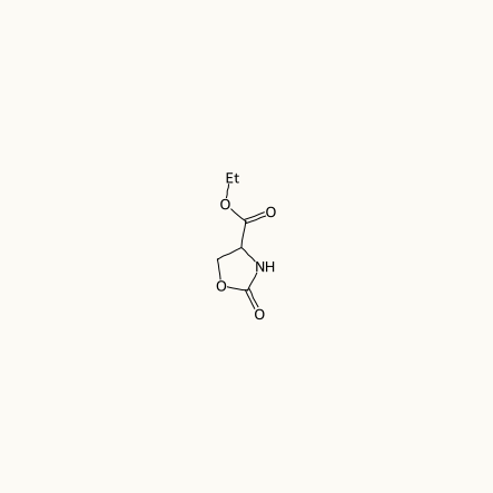 CCOC(=O)C1COC(=O)N1